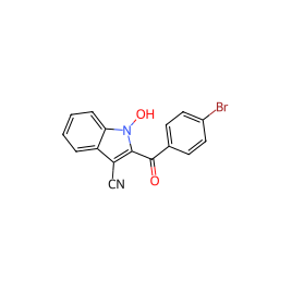 N#Cc1c(C(=O)c2ccc(Br)cc2)n(O)c2ccccc12